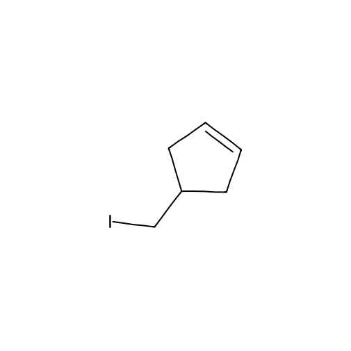 ICC1CC=CC1